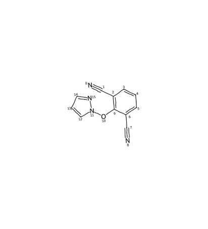 N#Cc1cccc(C#N)c1On1c[c]cn1